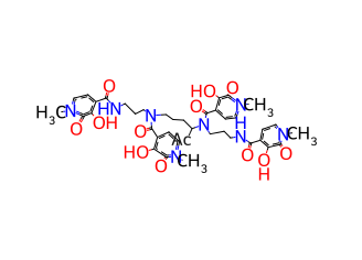 CC(=O)C(CCCN(CCCNC(=O)c1ccn(C)c(=O)c1O)C(=O)c1ccn(C)c(=O)c1O)N(CCCNC(=O)c1ccn(C)c(=O)c1O)C(=O)c1ccn(C)c(=O)c1O